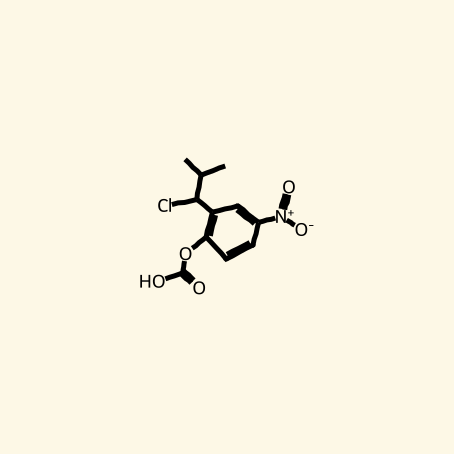 CC(C)C(Cl)c1cc([N+](=O)[O-])ccc1OC(=O)O